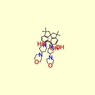 CC1(C)CC2(CC(C)(C)c3cc(O)c(O)c(CN4CCC(N5CCOCC5)CC4)c32)c2c1ccc(O)c2CN1CCC(N2CCOCC2)CC1